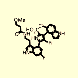 COCCC(=O)NCCc1c[nH]c2cc(F)cc(-c3[nH]c(C(=O)O)c(-c4c(Cl)ccc5[nH]ccc45)c3C(C)C)c12